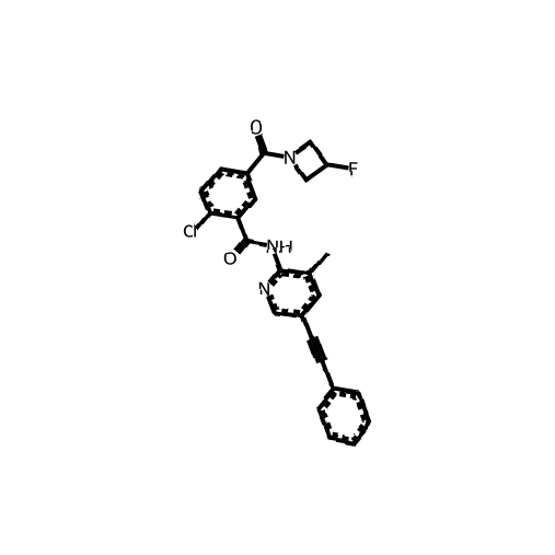 Cc1cc(C#Cc2ccccc2)cnc1NC(=O)c1cc(C(=O)N2CC(F)C2)ccc1Cl